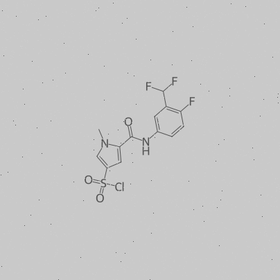 Cn1cc(S(=O)(=O)Cl)cc1C(=O)Nc1ccc(F)c(C(F)F)c1